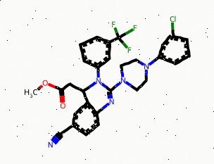 COC(=O)CC1c2cc(C#N)ccc2N=C(N2CCN(c3cccc(Cl)c3)CC2)N1c1cccc(C(F)(F)F)c1